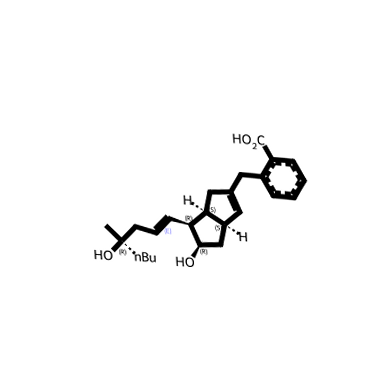 CCCC[C@@](C)(O)C/C=C/[C@H]1[C@H]2CC(Cc3ccccc3C(=O)O)=C[C@H]2C[C@H]1O